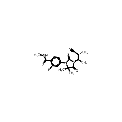 CNC(=O)c1ccc(N2C(=S)N(C(C)[C@@H](C)C#N)C(=O)C2(C)C)cc1F